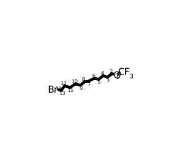 FC(F)(F)OCCCCCCCCCCCCBr